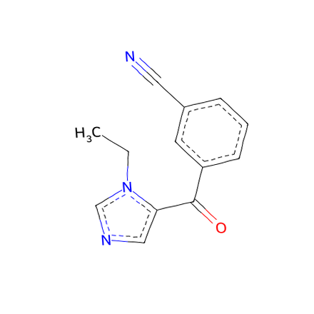 CCn1cncc1C(=O)c1cccc(C#N)c1